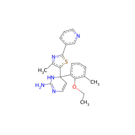 CCOc1c(C)cccc1C1(c2sc(-c3cccnc3)nc2C)C=CN=C(N)N1